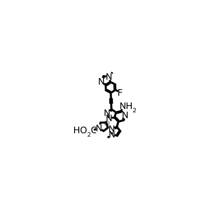 Cn1ccc(-c2cnc(N)c3c(C#Cc4cc5ncn(C)c5cc4F)nn([C@H]4CCN(C(=O)O)C4)c23)n1